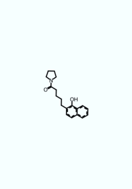 O=C(CCCCc1ccc2ccccc2c1O)N1CCCC1